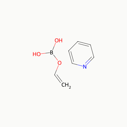 C=COB(O)O.c1ccncc1